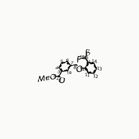 COC(=O)c1cccc(COc2ccccc2C(F)F)c1